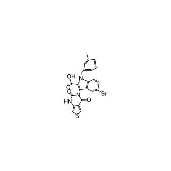 Cc1cccc(Cn2c(C(=O)O)c(-n3c(=O)[nH]c4cscc4c3=O)c3cc(Br)ccc32)c1